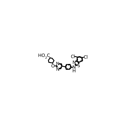 O=C(O)[C@H]1CC[C@@H](Oc2ncc(-c3ccc(Nc4nc5c(Cl)cc(Cl)cc5s4)cc3)cn2)CC1